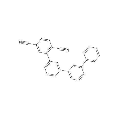 N#Cc1ccc(C#N)c(-c2cccc(-c3cccc(-c4ccccc4)c3)c2)c1